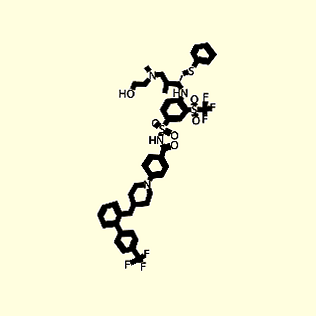 CC(CN(C)CCO)[C@H](CSc1ccccc1)Nc1ccc(S(=O)(=O)NC(=O)c2ccc(N3CCC(Cc4ccccc4-c4ccc(C(F)(F)F)cc4)CC3)cc2)cc1S(=O)(=O)C(F)(F)F